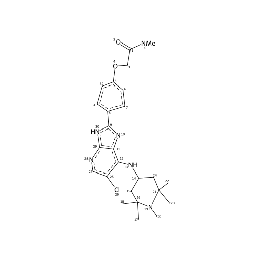 CNC(=O)COc1ccc(-c2nc3c(NC4CC(C)(C)N(C)C(C)(C)C4)c(Cl)cnc3[nH]2)cc1